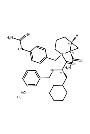 Cl.Cl.N=C(N)Nc1ccc(C[N+]2(C(=O)[C@@H](CC3CCCCC3)NCc3ccccc3)CCC[C@@H]3C[C@@]32C(N)=O)cc1